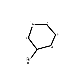 BrC1[C]SCCC1